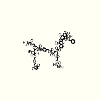 CCCCNC(=O)OCCOCCN(CCN(C)C(=O)OCc1ccc(NC(=O)[C@H](CCCNC(N)=O)NC(=O)[C@@H](NC(=O)OCCOCCN2C(=O)C=CC2=O)C(C)C)cc1)C(=O)Oc1ccc2nc3c(c(CC)c2c1)Cn1c-3cc2c(c1=O)COC(=O)[C@]2(O)C(=O)OCc1ccccc1